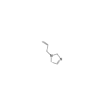 C=CCN1CC=NC1